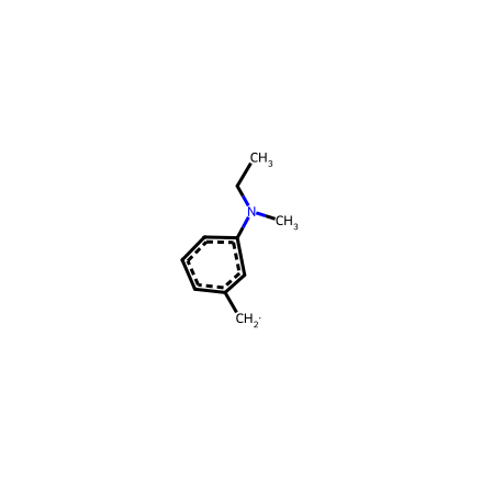 [CH2]c1cccc(N(C)CC)c1